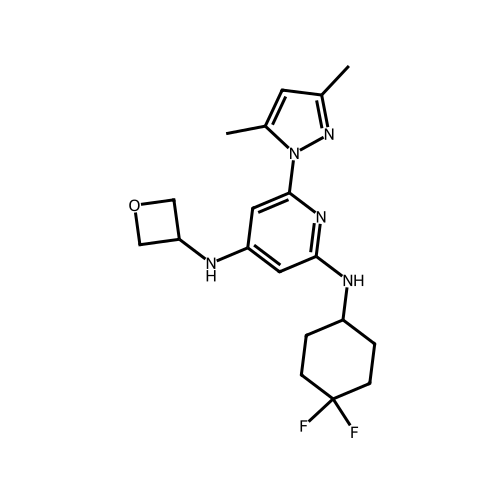 Cc1cc(C)n(-c2cc(NC3COC3)cc(NC3CCC(F)(F)CC3)n2)n1